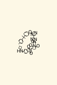 Cc1nc(-c2cncc(OC3=CC=C(C(C)(C)c4ccc(C[C@H]5C[C@@H](Nc6ccc7c(c6)C(=O)N(C6CCC(=O)NC6=O)C7=O)C5)cc4)CC=C3)n2)no1